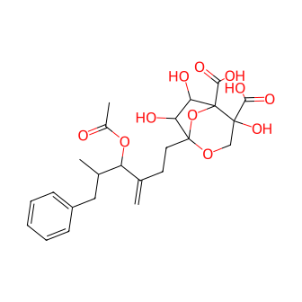 C=C(CCC12OCC(O)(C(=O)O)C(C(=O)O)(O1)C(O)C2O)C(OC(C)=O)C(C)Cc1ccccc1